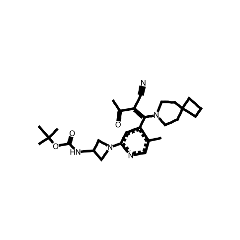 CC(=O)/C(C#N)=C(\c1cc(N2CC(NC(=O)OC(C)(C)C)C2)ncc1C)N1CCC2(CCC2)CC1